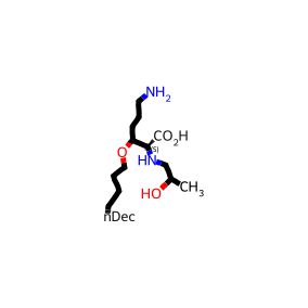 CCCCCCCCCCCCCCOC(CCCN)[C@H](NCC(C)O)C(=O)O